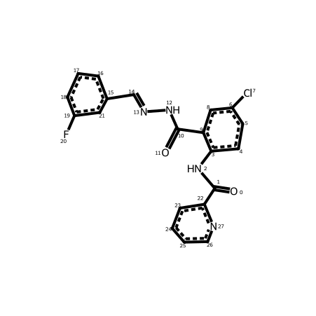 O=C(Nc1ccc(Cl)cc1C(=O)N/N=C/c1cccc(F)c1)c1ccccn1